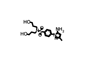 Cc1cc(N)n(-c2ccc(S(=O)(=O)N(CCCO)CCCO)cc2)n1